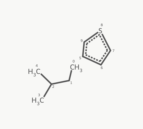 CCC(C)C.c1ccsc1